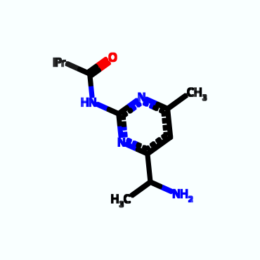 Cc1cc(C(C)N)nc(NC(=O)C(C)C)n1